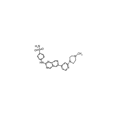 CN1CCN(c2cc(-c3ccc4nc(Nc5ccc(S(N)(=O)=O)cc5)ncc4c3)ccn2)CC1